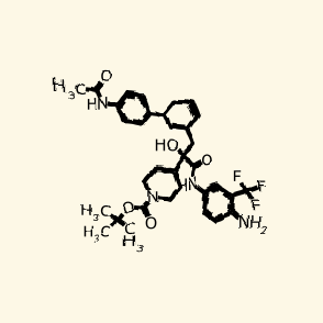 CC(=O)Nc1ccc(C2C=C(CC(O)(C(=O)Nc3ccc(N)c(C(F)(F)F)c3)C3CCN(C(=O)OC(C)(C)C)CC3)C=CC2)cc1